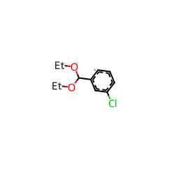 CCOC(OCC)c1[c]ccc(Cl)c1